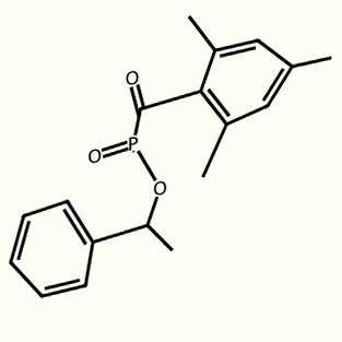 Cc1cc(C)c(C(=O)[P](=O)OC(C)c2ccccc2)c(C)c1